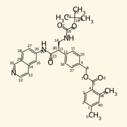 Cc1ccc(C(=O)OCc2ccc([C@H](CNC(=O)OC(C)(C)C)C(=O)Nc3ccc4cnccc4c3)cc2)c(C)c1